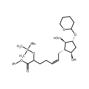 CCCCCCCC[C@@H]1[C@@H](C/C=C\CCC(O[Si](C)(C)C(C)(C)C)C(=O)OC(C)C)[C@H](O)C[C@H]1OC1CCCCO1